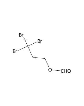 O=COCCC(Br)(Br)Br